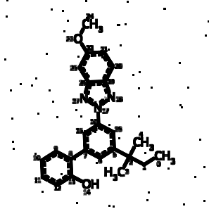 CCC(C)(C)c1cc(-c2ccccc2O)cc(-n2nc3ccc(OC)cc3n2)c1